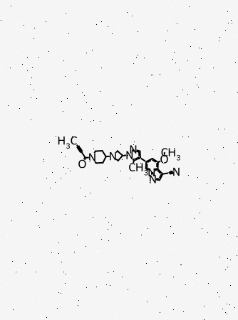 CC#CC(=O)N1CCC(N2CC(n3ncc(-c4cc(OC)c5c(C#N)cnn5c4)c3C)C2)CC1